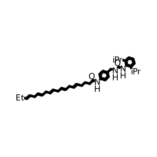 CCC=CCC=CCC=CCC=CCC=CCCCC(=O)Nc1ccc(CNC(=O)Nc2c(C(C)C)cccc2C(C)C)cc1